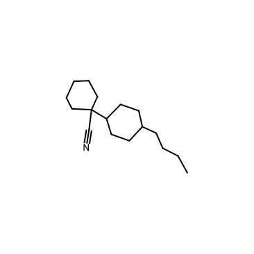 CCCCC1CCC(C2(C#N)CCCCC2)CC1